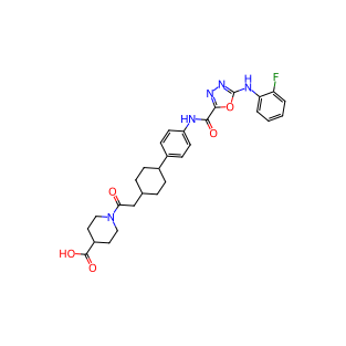 O=C(Nc1ccc(C2CCC(CC(=O)N3CCC(C(=O)O)CC3)CC2)cc1)c1nnc(Nc2ccccc2F)o1